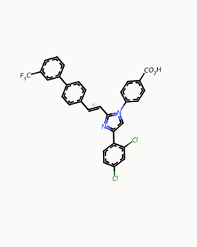 O=C(O)c1ccc(-n2cc(-c3ccc(Cl)cc3Cl)nc2/C=C/c2ccc(-c3cccc(C(F)(F)F)c3)cc2)cc1